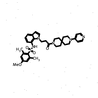 COc1cc(C)c(S(=O)(=O)Nc2cccc3ccn(CCC(=O)N4CCC5(CC4)CCN(c4ccncc4)CC5)c23)c(C)c1